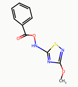 COc1nsc(NOC(=O)c2ccccc2)n1